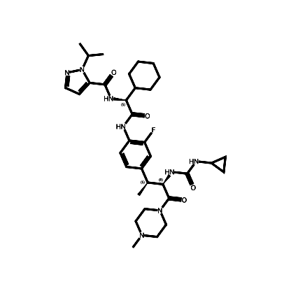 CC(C)n1nccc1C(=O)N[C@H](C(=O)Nc1ccc([C@H](C)[C@@H](NC(=O)NC2CC2)C(=O)N2CCN(C)CC2)cc1F)C1CCCCC1